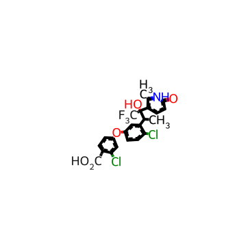 Cc1[nH]c(=O)ccc1C(O)(C(C)c1cc(Oc2ccc(C(=O)O)c(Cl)c2)ccc1Cl)C(F)(F)F